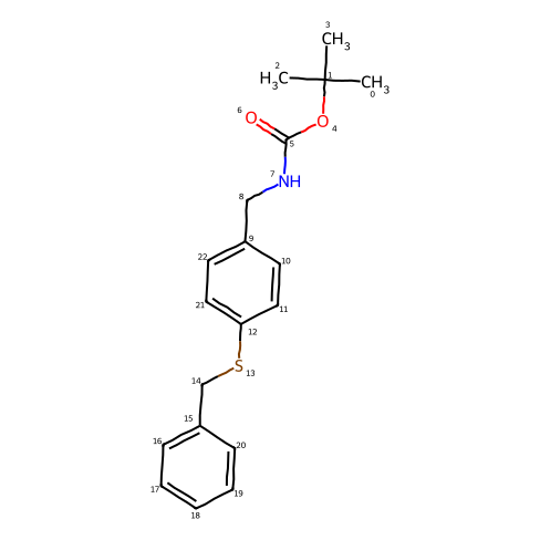 CC(C)(C)OC(=O)NCc1ccc(SCc2ccccc2)cc1